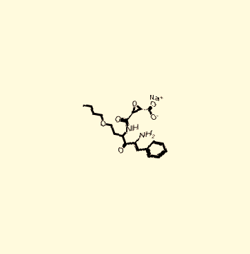 CCCCOCCC(NC(=O)[C@H]1O[C@@H]1C(=O)[O-])C(=O)[C@@H](N)Cc1ccccc1.[Na+]